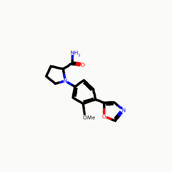 COc1cc(N2CCCC2C(N)=O)ccc1-c1cnco1